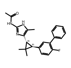 CC(=O)Nc1nc([C@@H]2[C@@H](c3ccc(F)c(-c4ccccc4)c3)C2(C)C)c(C)[nH]1